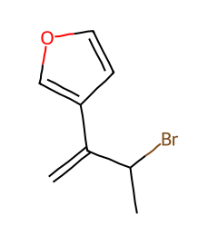 C=C(c1ccoc1)C(C)Br